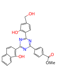 COC(=O)c1ccc(-c2nc(-c3ccc(CO)cc3O)nc(-c3ccc4ccccc4c3O)n2)cc1